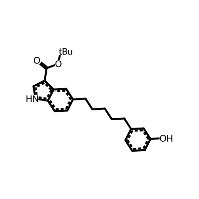 CC(C)(C)OC(=O)c1c[nH]c2ccc(CCCCCc3cccc(O)c3)cc12